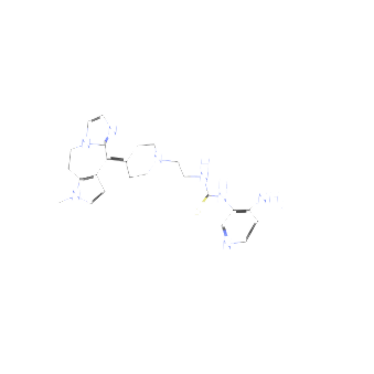 Cn1ccc2c1CCn1ccnc1C2=C1CCN(CCNC(=S)Nc2cnccc2N)CC1